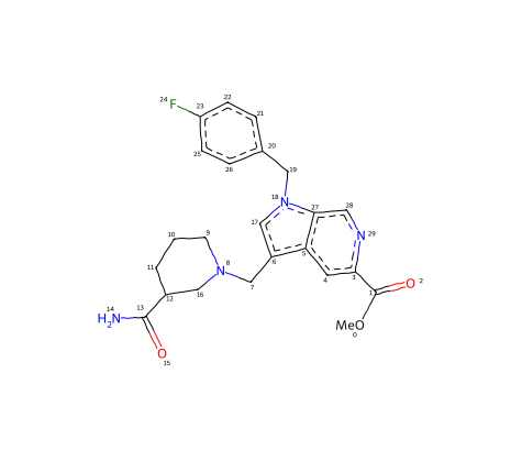 COC(=O)c1cc2c(CN3CCCC(C(N)=O)C3)cn(Cc3ccc(F)cc3)c2cn1